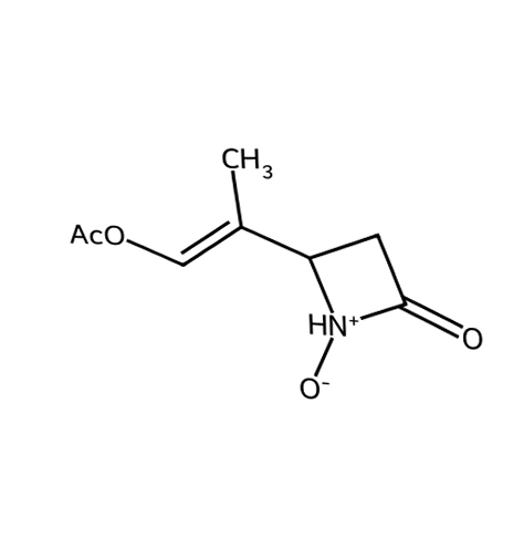 CC(=O)OC=C(C)C1CC(=O)[NH+]1[O-]